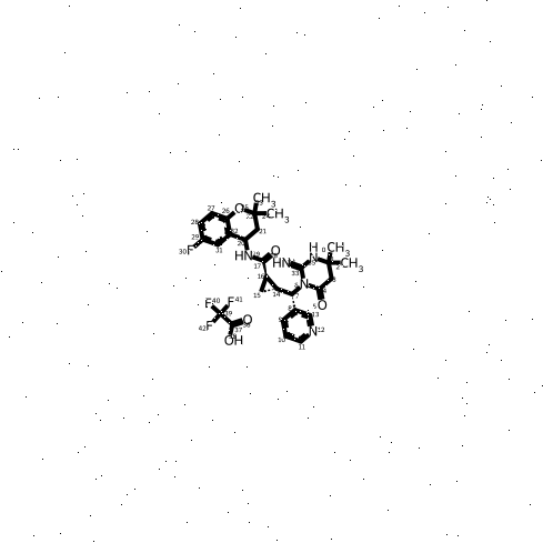 CC1(C)CC(=O)N([C@H](c2cccnc2)[C@@H]2C[C@H]2C(=O)NC2CC(C)(C)Oc3ccc(F)cc32)C(=N)N1.O=C(O)C(F)(F)F